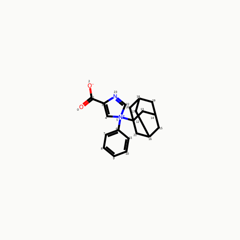 O=C([O-])C1=C[N+](c2ccccc2)(C23CC4CC(CC(C4)C2)C3)C=N1